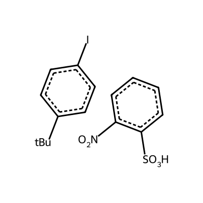 CC(C)(C)c1ccc(I)cc1.O=[N+]([O-])c1ccccc1S(=O)(=O)O